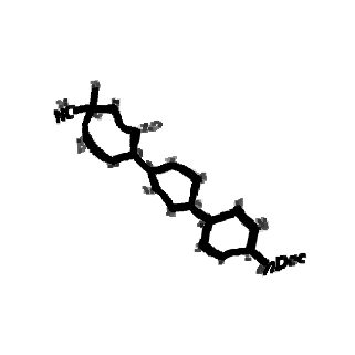 CCCCCCCCCCC1CCC(C2CCC(C3CCC(C)(C#N)CC3)CC2)CC1